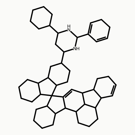 C1=CC(C2NC(C3CCCCC3)CC(C3CCC4C(C3)C3CCCCC3C43C4=CC5C6CCC=CC6C6CCCC(C4C4CCCCC43)C56)N2)=CCC1